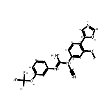 COc1cc(N(C#N)/C(N)=N/c2cccc(OC(F)(F)F)c2)ccc1-c1cnco1